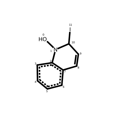 ON1c2ccccc2C=CC1I